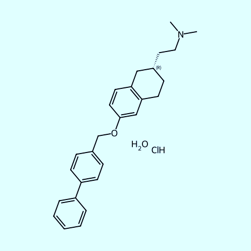 CN(C)CC[C@@H]1CCc2cc(OCc3ccc(-c4ccccc4)cc3)ccc2C1.Cl.O